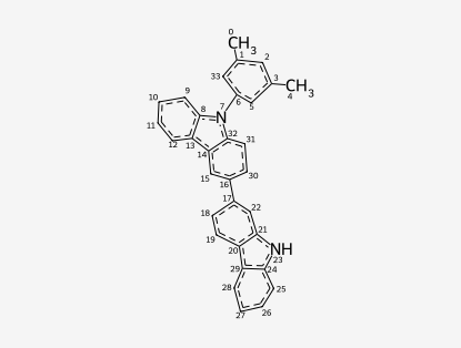 Cc1cc(C)cc(-n2c3ccccc3c3cc(-c4ccc5c(c4)[nH]c4ccccc45)ccc32)c1